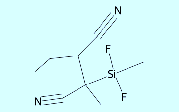 CCC(C#N)C(C)(C#N)[Si](C)(F)F